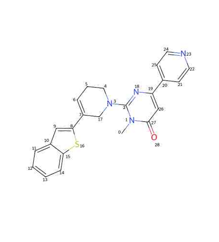 Cn1c(N2CCC=C(c3cc4ccccc4s3)C2)nc(-c2ccncc2)cc1=O